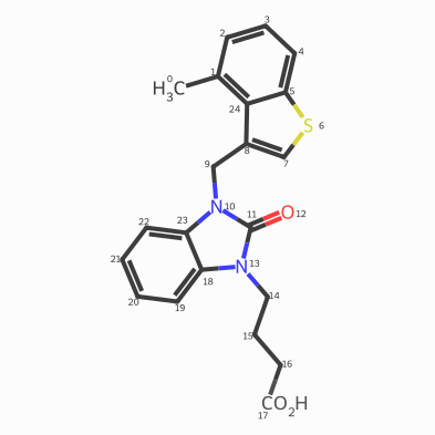 Cc1cccc2scc(Cn3c(=O)n(CCCC(=O)O)c4ccccc43)c12